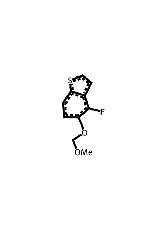 COCOc1ccc2sccc2c1F